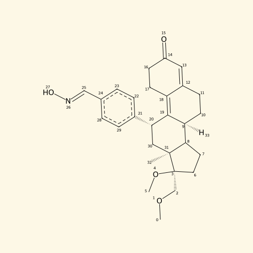 COC[C@@]1(OC)CCC2[C@@H]3CCC4=CC(=O)CCC4=C3[C@@H](c3ccc(/C=N/O)cc3)C[C@@]21C